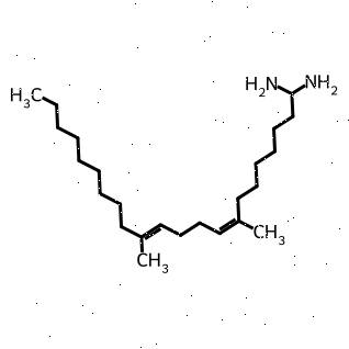 CCCCCCCCCC(C)=CCCC=C(C)CCCCCCC(N)N